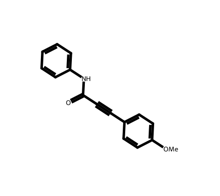 COc1ccc(C#CC(=O)Nc2ccccc2)cc1